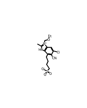 CCOC[n+]1c(C)[nH]c2c(CCCCS(=O)(=O)[O-])c(C#N)c(Cl)cc21